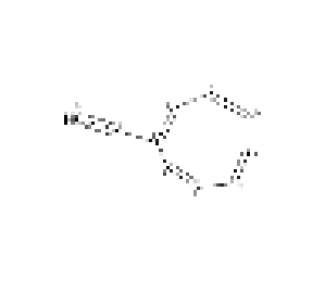 C#CC1=CC=CC=CC=C1